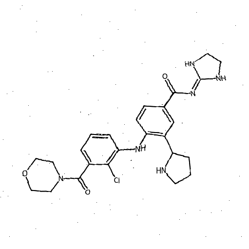 O=C(N=C1NCCN1)c1ccc(Nc2cccc(C(=O)N3CCOCC3)c2Cl)c(C2CCCN2)c1